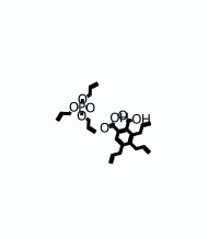 C=CCOP(=O)(OCC=C)OCC=C.C=CCc1cc(C(=O)O)c(C(=O)O)c(CC=C)c1CC=C